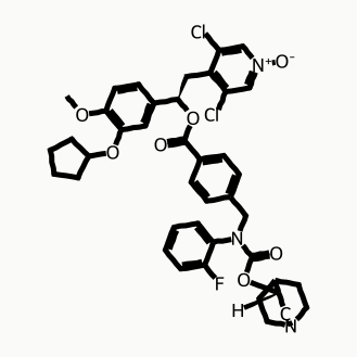 COc1ccc([C@@H](Cc2c(Cl)c[n+]([O-])cc2Cl)OC(=O)c2ccc(CN(C(=O)O[C@H]3CN4CCC3CC4)c3ccccc3F)cc2)cc1OC1CCCC1